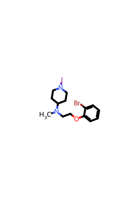 CN(CCOc1ccccc1Br)C1CCN(I)CC1